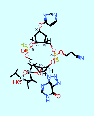 CC(C)[Si](O)(O[Si](O[C@@H]1C2CO[P@](=O)(S)O[C@H]3C[C@H](Oc4ccncn4)C[C@@H]3CO[P@@](=S)(OCCC#N)O[C@H]1[C@H](n1nnc3c(=O)[nH]cnc31)C2)(C(C)C)C(C)C)C(C)C